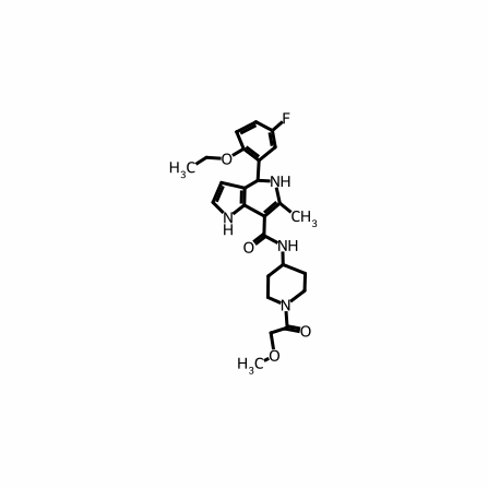 CCOc1ccc(F)cc1C1NC(C)=C(C(=O)NC2CCN(C(=O)COC)CC2)c2[nH]ccc21